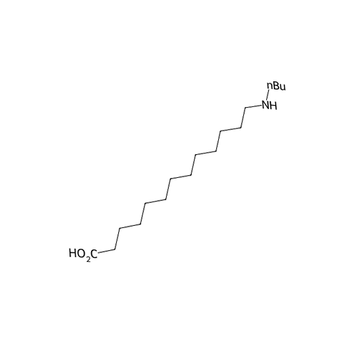 CCCCNCCCCCCCCCCCCC(=O)O